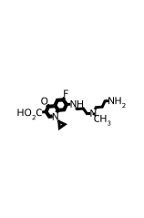 CN(CCCN)CCCNc1cc2c(cc1F)c(=O)c(C(=O)O)cn2C1CC1